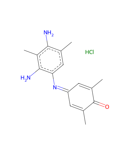 CC1=CC(=Nc2cc(C)c(N)c(C)c2N)C=C(C)C1=O.Cl